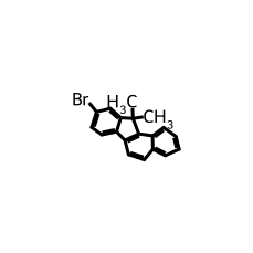 CC1(C)c2cc(Br)ccc2-c2ccc3ccccc3c21